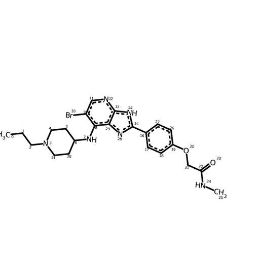 CCCN1CCC(Nc2c(Br)cnc3[nH]c(-c4ccc(OCC(=O)NC)cc4)nc23)CC1